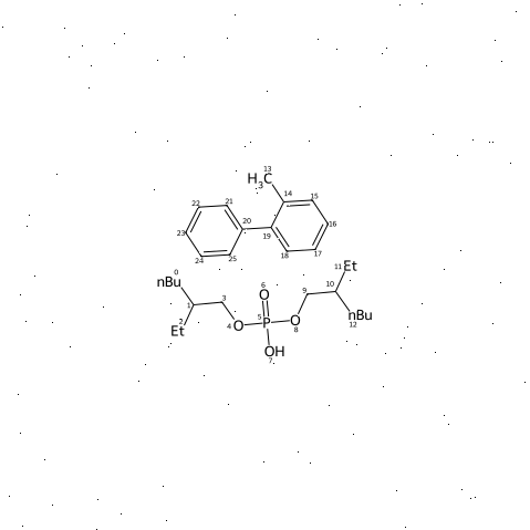 CCCCC(CC)COP(=O)(O)OCC(CC)CCCC.Cc1ccccc1-c1ccccc1